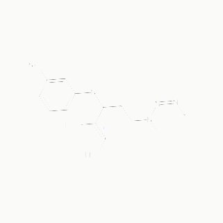 C/C=C(\C)C(CCN(C)/N=N\C(C)C)Nc1cccc(C#N)c1